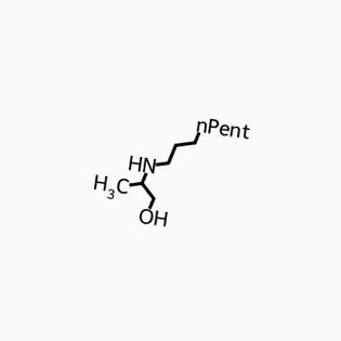 CCCCCCCCNC(C)CO